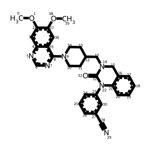 COc1cc2ncnc(N3CCC(CN4Cc5ccccc5N(c5cccc(C#N)c5)C4=O)CC3)c2cc1OC